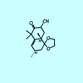 C[C@@H]1C=C2C(C)(C)C(=O)C(C#N)C[C@]2(C)C2(C1)OCCO2